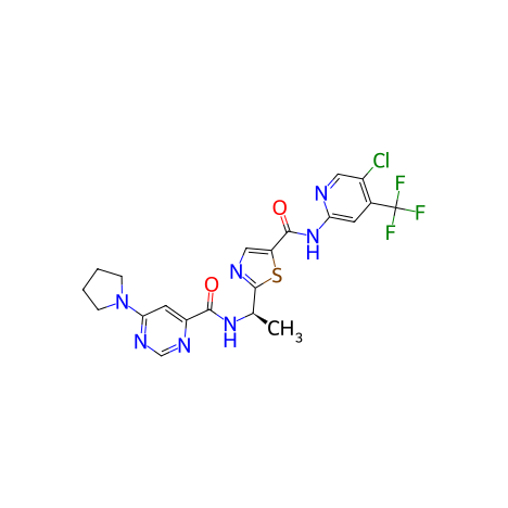 C[C@@H](NC(=O)c1cc(N2CCCC2)ncn1)c1ncc(C(=O)Nc2cc(C(F)(F)F)c(Cl)cn2)s1